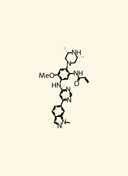 C=CC(=O)Nc1cc(Nc2cc(-c3ccc4cnn(C)c4c3)ncn2)c(OC)cc1N1C[C@@H](C)N[C@@H](C)C1